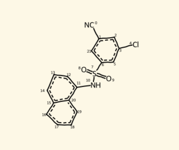 N#Cc1cc(Cl)cc(S(=O)(=O)Nc2cccc3ccccc23)c1